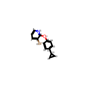 Brc1cccnc1Oc1ccc(C2CC2)cc1